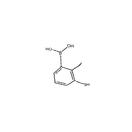 Cc1c(S)cccc1B(O)O